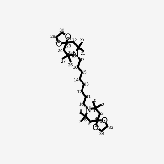 CC1(C)CC2(CC(C)(C)N1CCCCCCCCN1C(C)(C)CC3(CC1(C)C)OCCO3)OCCO2